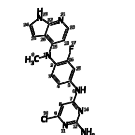 CN(c1ccc(Nc2cc(Cl)nc(N)n2)cc1F)c1ccnc2[nH]ccc12